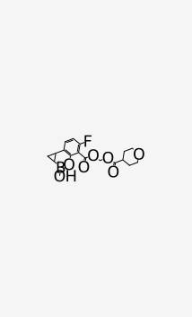 O=C(OCOC(=O)C1CCOCC1)c1c(F)ccc2c1OB(O)C1CC21